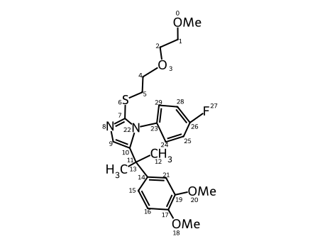 COCCOCCSc1ncc(C(C)(C)c2ccc(OC)c(OC)c2)n1-c1ccc(F)cc1